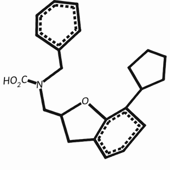 O=C(O)N(Cc1ccccc1)CC1Cc2cccc(C3CCCC3)c2O1